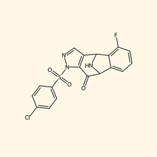 O=C1c2c(cnn2S(=O)(=O)c2ccc(Cl)cc2)C2NC1c1cccc(F)c12